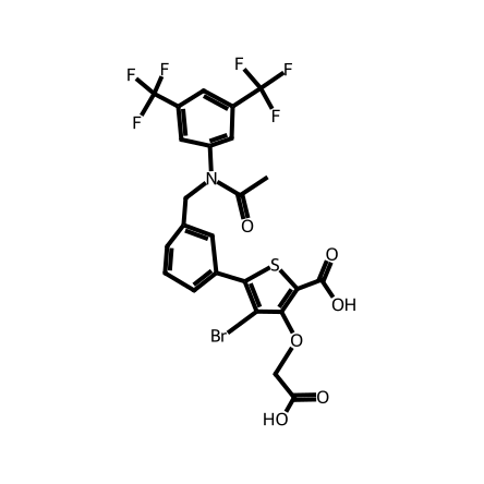 CC(=O)N(Cc1cccc(-c2sc(C(=O)O)c(OCC(=O)O)c2Br)c1)c1cc(C(F)(F)F)cc(C(F)(F)F)c1